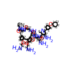 Cc1nc(-c2ccc(OC3CCCCC3)cc2)cc(N)c1C(=O)N[C@@H](CCN)C(=O)N(C)[C@@H]1C(=O)N[C@@H](C)C(=O)N[C@H](C(=O)NCC#N)Cc2ccc(OCCN)c(c2)-c2cc1ccc2OCCN